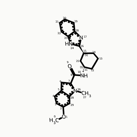 COc1ccc2cc(C(=O)N[C@H]3CCC[C@H](c4nc5ccccc5[nH]4)C3)n(C)c2c1